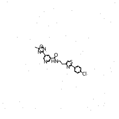 Cc1nc(-c2cncc(C(=O)NCCc3csc(-c4ccc(Cl)cc4)n3)c2)no1